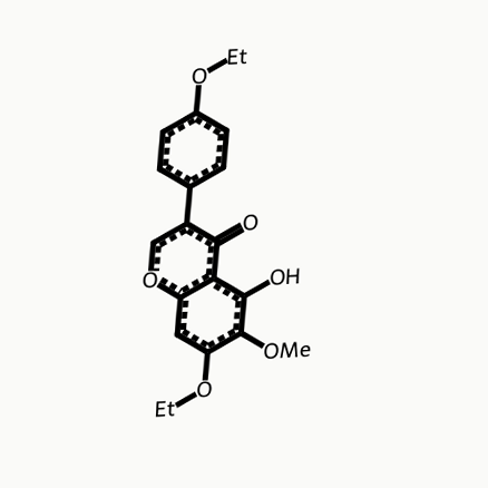 CCOc1ccc(-c2coc3cc(OCC)c(OC)c(O)c3c2=O)cc1